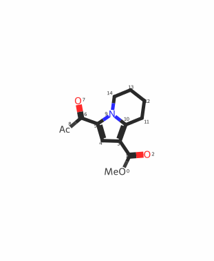 COC(=O)c1cc(C(=O)C(C)=O)n2c1CCCC2